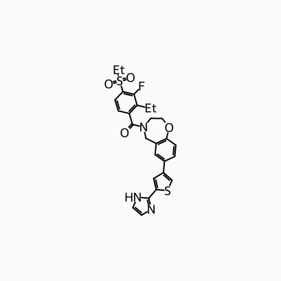 CCc1c(C(=O)N2CCOc3ccc(-c4csc(-c5ncc[nH]5)c4)cc3C2)ccc(S(=O)(=O)CC)c1F